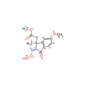 COC(=O)CC1(C)C(=NOO)C(=O)c2ccc(OC)cc21